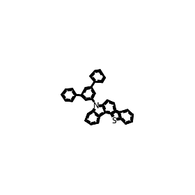 c1ccc(-c2cc(-c3ccccc3)cc(-n3c4ccccc4c4c5sc6ccccc6c5ccc43)c2)cc1